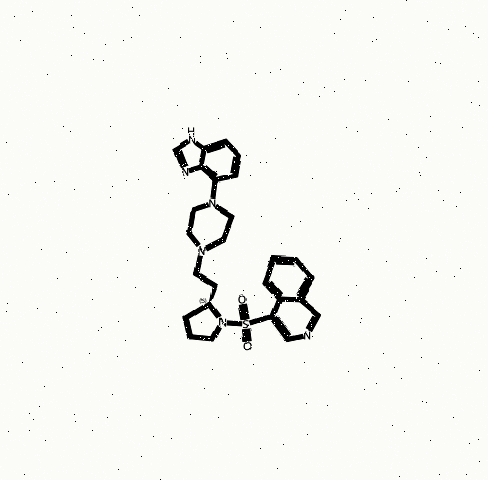 O=S(=O)(c1cncc2ccccc12)N1CCC[C@H]1CCN1CCN(c2cccc3[nH]cnc23)CC1